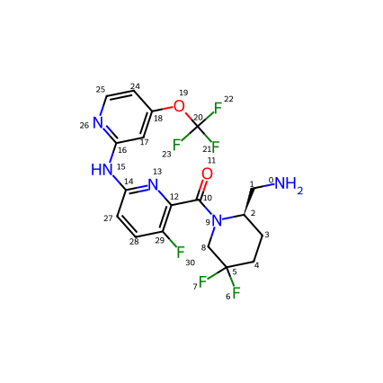 NC[C@H]1CCC(F)(F)CN1C(=O)c1nc(Nc2cc(OC(F)(F)F)ccn2)ccc1F